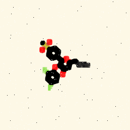 COCc1cc(=O)c(Oc2ccc(F)cc2F)c(-c2ccc(S(C)(=O)=O)cc2)o1